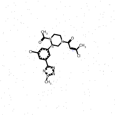 CC(=O)N1CCN(C(=O)/C=C(\C)Cl)C[C@H]1c1cc(Cl)cc(-c2nnn(C)n2)c1